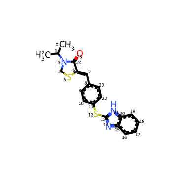 CC(C)N1CS/C(=C\c2ccc(Sc3nc4ccccc4[nH]3)cc2)C1=O